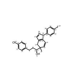 CC1([C@@H](O)CCc2ccc(Cl)cc2)C=Cc2c(cnn2-c2ccc(F)cc2)C1